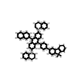 CC1(C)C2=C(CCC=C2)c2cc(-c3ccc(-c4c5ccc(N6CCCc7ccccc76)cc5c(-c5ccc6ccccc6c5)c5ccc(N6CCCc7ccccc76)cc45)cc3)ccc21